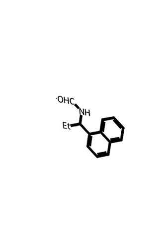 CCC(N[C]=O)c1cccc2ccccc12